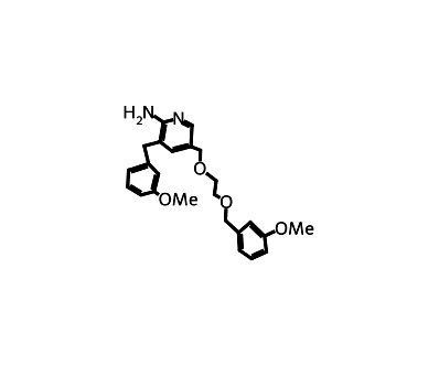 COc1cccc(COCCOCc2cnc(N)c(Cc3cccc(OC)c3)c2)c1